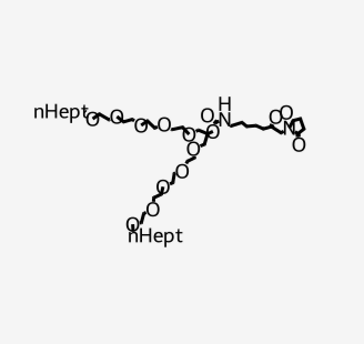 CCCCCCCOCCOCCOCCOCCOCC(COCCOCCOCCOCCOCCCCCCC)OC(=O)NCCCCCC(=O)CN1C(=O)CCC1=O